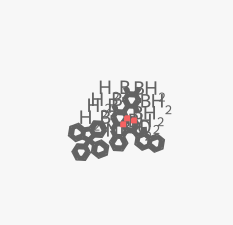 Bc1c(B)c(B)c(-c2c(B)c(B)c(N(c3ccc4c(c3)C(c3ccccc3)(c3ccccc3)c3ccccc3-4)c3ccccc3-c3cccc4oc5c6ccccc6ccc5c34)c(B)c2B)c(B)c1B